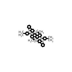 CC(C)c1ccc(N(c2ccc(C(C)(C)C)c3c2ccc2c3ccc3c(N(c4ccc(C(C)C)cc4)c4cccc5c4sc4ccccc45)ccc(C(C)(C)C)c32)c2cccc3c2sc2ccccc23)cc1